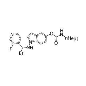 CCCCCCCNC(=O)Oc1ccc2c(ccn2NC(CC)c2ccncc2F)c1